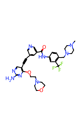 CN1CCN(Cc2ccc(NC(=O)c3cncc(C#Cc4cnc(N)nc4OCCN4CCOCC4)c3)cc2C(F)(F)F)CC1